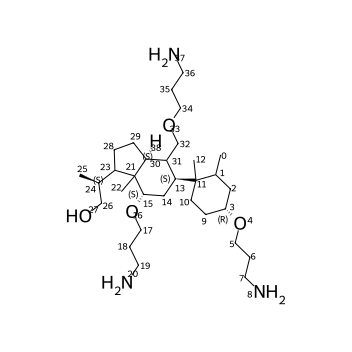 CC1C[C@H](OCCCN)CCC1(C)[C@H]1C[C@H](OCCCN)C2(C)C([C@H](C)CO)CC[C@H]2C1COCCCN